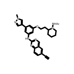 C#Cc1ccc2nc(Nc3cc(OCCC4CCCCN4NC(C)=O)cc(-c4cnn(C)c4)c3)ncc2c1